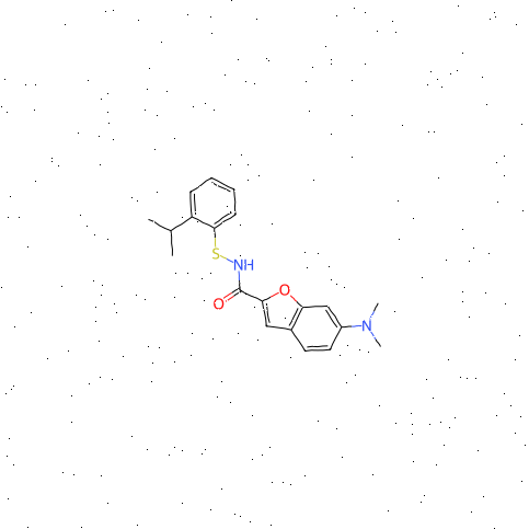 CC(C)c1ccccc1SNC(=O)c1cc2ccc(N(C)C)cc2o1